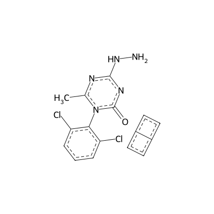 Cc1nc(NN)nc(=O)n1-c1c(Cl)cccc1Cl.c1cc2ccc1-2